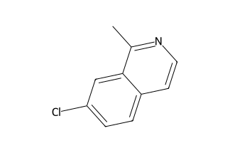 Cc1nccc2ccc(Cl)cc12